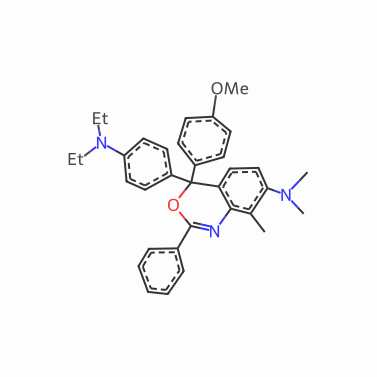 CCN(CC)c1ccc(C2(c3ccc(OC)cc3)OC(c3ccccc3)=Nc3c2ccc(N(C)C)c3C)cc1